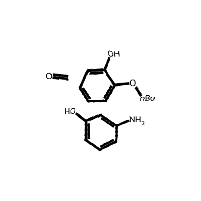 C=O.CCCCOc1ccccc1O.Nc1cccc(O)c1